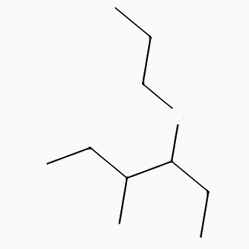 CCCSC(CC)C(C)CC